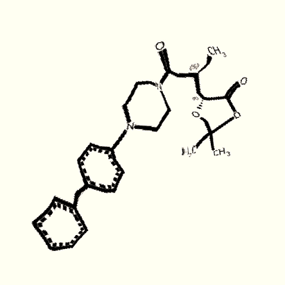 C[C@H](C(=O)N1CCN(c2ccc(-c3ccccc3)cc2)CC1)[C@H]1OC(C)(C)OC1=O